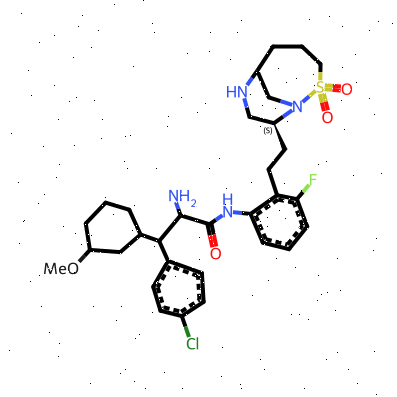 COC1CCCC(C(c2ccc(Cl)cc2)C(N)C(=O)Nc2cccc(F)c2CC[C@H]2CNC3CCCS(=O)(=O)N2C3)C1